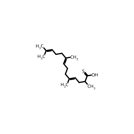 CC(C)=CCCC(C)=CCCC(C)=CCC(C)C(O)=S